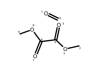 C=O.COC(=O)C(=O)OC